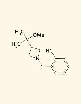 COC(C)(C)C1CN(Cc2ccccc2C#N)C1